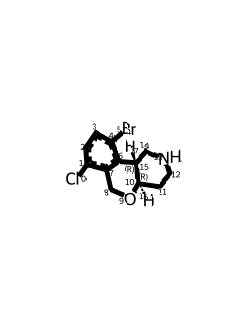 Clc1ccc(Br)c2c1CO[C@@H]1CCNC[C@@H]21